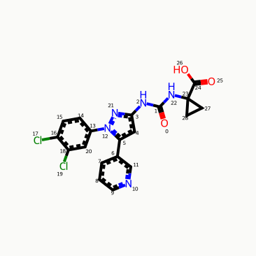 O=C(Nc1cc(-c2cccnc2)n(-c2ccc(Cl)c(Cl)c2)n1)NC1(C(=O)O)CC1